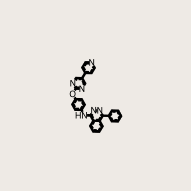 c1ccc(-c2nnc(Nc3ccc(Oc4ncc(-c5ccncc5)cn4)cc3)c3ccccc23)cc1